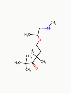 CNCC(C)OCCC(C)(C)C(=O)C(C)(C)C